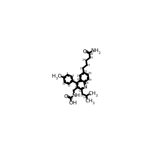 Cc1ccc(-c2c(CNC(=O)O)c(CC(C)C)nc3ccc(CCCCC(N)=O)cc23)cc1